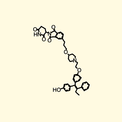 CC/C(=C(\c1ccc(O)cc1)c1ccc(OCCN2CCC(OCCCc3ccc4c(c3)C(=O)N(C3CCC(=O)NC3=O)C4=O)CC2)cc1)c1ccccc1